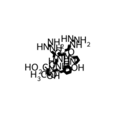 C[C@@H](O)[C@H](NC(=O)[C@H](Cc1ccc(O)cc1)NC(=O)[C@H](CCCNC(=N)N)NC(=O)[C@H](CCCNC(=N)N)NC(=O)[C@@H]1CCCN1)C(=O)O